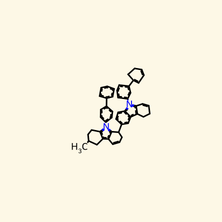 CC1CCc2c(c3c(n2-c2ccc(-c4ccccc4)cc2)C(c2ccc4c(c2)c2c(n4-c4cccc(C5=CC=CCC5)c4)C=CCC2)CC=C3)C1